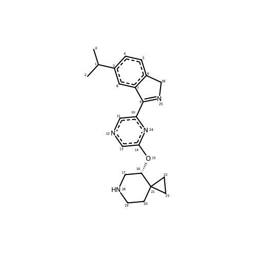 CC(C)c1ccc2c(c1)C(c1cncc(O[C@H]3CNCCC34CC4)n1)=NC2